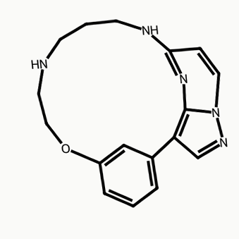 c1cc2cc(c1)-c1cnn3ccc(nc13)NCCCNCCO2